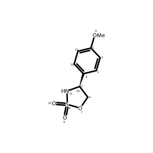 COc1ccc([C@H]2COS(=O)(=O)N2)cc1